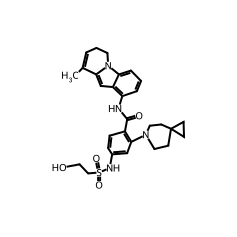 CC1=CCCn2c1cc1c(NC(=O)c3ccc(NS(=O)(=O)CCO)cc3N3CCC4(CC3)CC4)cccc12